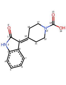 O=C1Nc2ccccc2C1=C1CCN(C(=O)O)CC1